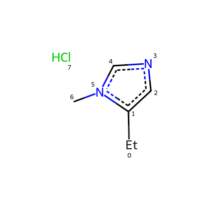 CCc1cncn1C.Cl